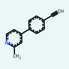 C#Cc1ccc(-c2ccnc(C)c2)cc1